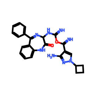 N=C(NC1N=C(c2ccccc2)c2ccccc2NC1=O)OC(=N)c1cn(C2CCC2)nc1N